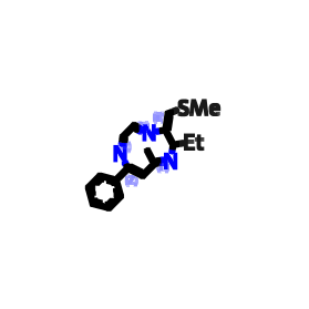 CCC1/N=C(C)/C=C(c2ccccc2)\N=C/C=N/C1=C/SC